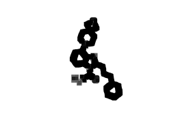 NC(=O)n1c(CCCc2ccccc2)nc2c(N3CCC4(CC3)COC4)cccc21